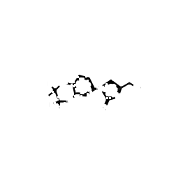 N=c1sc(CO)cn1-c1ccc2c(c1)OC(F)(F)C(F)(F)O2